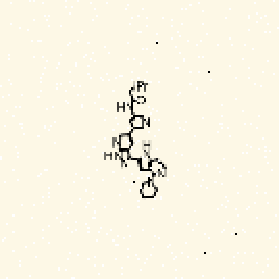 CC(C)CC(=O)Nc1cncc(-c2cnc3[nH]nc(-c4cc5c(N6CCCCC6)nccc5[nH]4)c3c2)c1